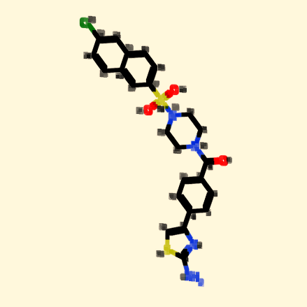 Nc1nc(-c2ccc(C(=O)N3CCN(S(=O)(=O)c4ccc5cc(Cl)ccc5c4)CC3)cc2)cs1